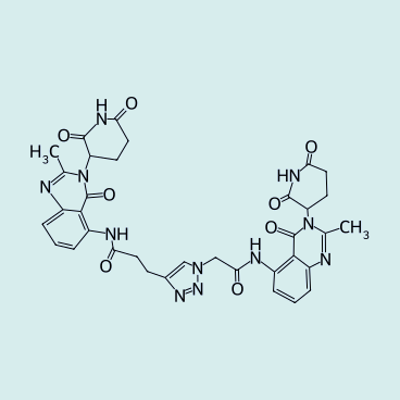 Cc1nc2cccc(NC(=O)CCc3cn(CC(=O)Nc4cccc5nc(C)n(C6CCC(=O)NC6=O)c(=O)c45)nn3)c2c(=O)n1C1CCC(=O)NC1=O